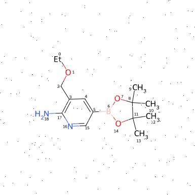 CCOCc1cc(B2OC(C)(C)C(C)(C)O2)cnc1N